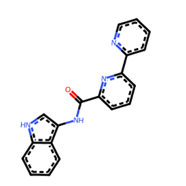 O=C(Nc1c[nH]c2ccccc12)c1cccc(-c2ccccn2)n1